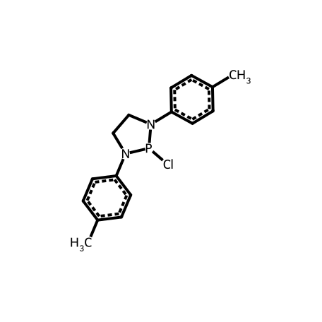 Cc1ccc(N2CCN(c3ccc(C)cc3)P2Cl)cc1